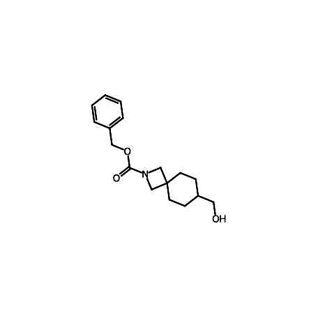 O=C(OCc1ccccc1)N1CC2(CCC(CO)CC2)C1